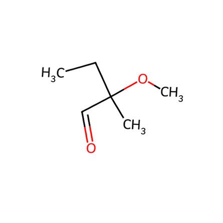 CCC(C)(C=O)OC